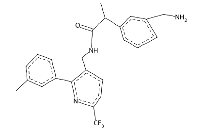 Cc1cccc(-c2nc(C(F)(F)F)ccc2CNC(=O)C(C)c2cccc(CN)c2)c1